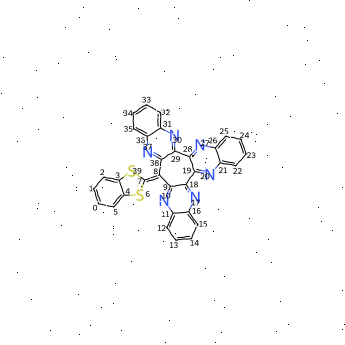 c1ccc2c(c1)SC(=C1c3nc4ccccc4nc3-c3nc4ccccc4nc3-c3nc4ccccc4nc31)S2